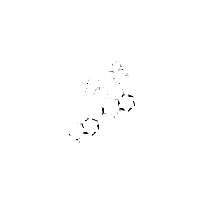 CC1(c2ccc(C(=O)Nc3cccc(B4OC(C)(C)C(C)(C)O4)c3CO[Si](C)(C)C(C)(C)C)cc2)CC1